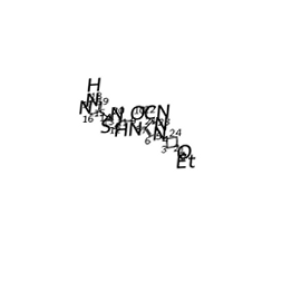 CCOC1CC(n2cc(NC(=O)c3csc(-c4cn[nH]c4)n3)c(C#N)n2)C1